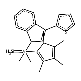 CC1=C(C)C(C)[C]([Zr]([CH3])([CH3])(=[SiH2])[CH]2C=C(c3cccs3)c3ccccc32)=C1C